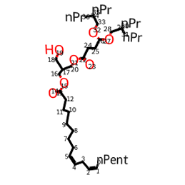 CCCCC/C=C\C/C=C\CCCCCCCC(=O)OCC(CO)COC(=O)CCC(OCC(CCC)CCC)OCC(CCC)CCC